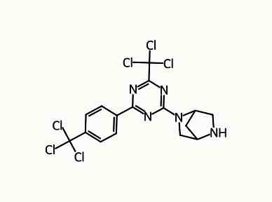 ClC(Cl)(Cl)c1ccc(-c2nc(N3CC4CC3CN4)nc(C(Cl)(Cl)Cl)n2)cc1